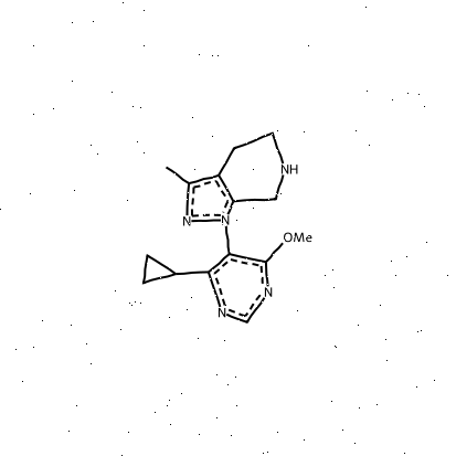 COc1ncnc(C2CC2)c1-n1nc(C)c2c1CNCC2